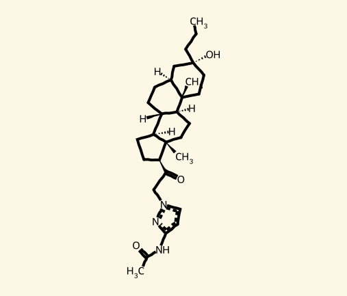 CCC[C@@]1(O)CC[C@@]2(C)[C@@H](CC[C@@H]3[C@@H]2CC[C@]2(C)[C@@H](C(=O)Cn4ccc(NC(C)=O)n4)CC[C@@H]32)C1